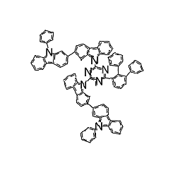 c1ccc(-c2cccc(-c3nc(-n4c5ccccc5c5ccc(-c6ccc7c8ccccc8n(-c8ccccc8)c7c6)cc54)nc(-n4c5ccccc5c5ccc(-c6ccc7c8ccccc8n(-c8ccccc8)c7c6)cc54)n3)c2-c2ccccc2)cc1